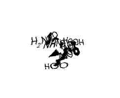 N=C(N)N1CCOC(CNC(=O)C[C@H](NS(=O)(=O)c2ccccc2C(=O)O)C(=O)N(CCC(=O)O)C2CC2)C1